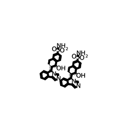 NS(=O)(=O)c1ccc2c(c1)CC[C@@H]([C@@H]1c3ccccc3-c3cncn31)[C@@H]2O.NS(=O)(=O)c1ccc2c(c1)CC[C@H]([C@H]1c3ccccc3-c3cncn31)[C@@H]2O